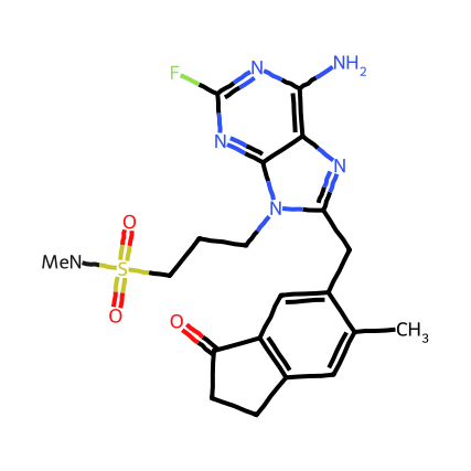 CNS(=O)(=O)CCCn1c(Cc2cc3c(cc2C)CCC3=O)nc2c(N)nc(F)nc21